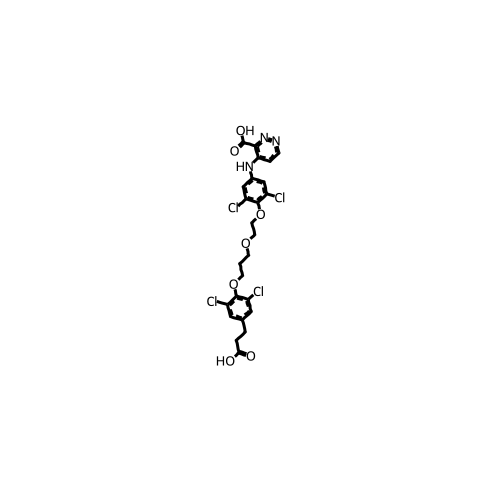 O=C(O)CCc1cc(Cl)c(OCCCOCCOc2c(Cl)cc(Nc3ccnnc3C(=O)O)cc2Cl)c(Cl)c1